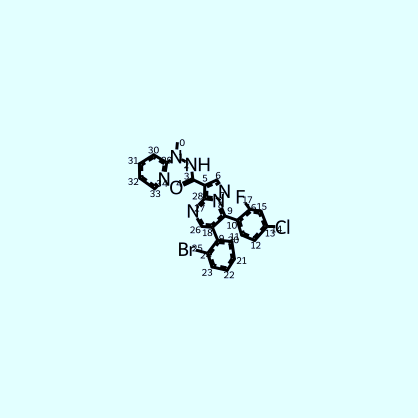 CN(NC(=O)c1cnn2c(-c3ccc(Cl)cc3F)c(-c3ccccc3Br)cnc12)c1ccccn1